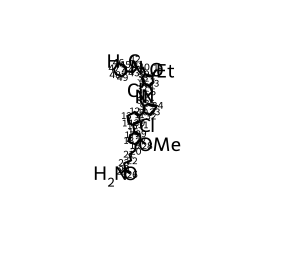 CCOc1cc(Cn2ncc3c(-c4cccc(-c5ccc(CCCCC(N)=O)c(OC)c5)c4Cl)cccc32)c(Cl)cc1CN(C)CC1CCCCC1